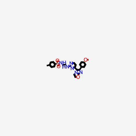 COc1ccc(-c2nc3occn3c2-c2ccnc(NCCNS(=O)(=O)c3ccc(C)cc3)n2)cc1